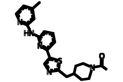 CC(=O)N1CCC(Cc2ncc(-c3cccc(Nc4cc(C)ccn4)n3)s2)CC1